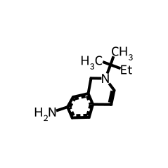 CCC(C)(C)N1C=Cc2ccc(N)cc2C1